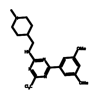 COc1cc(OC)cc(-c2nc(NCC3CCN(C)CC3)nc(C(Cl)(Cl)Cl)n2)c1